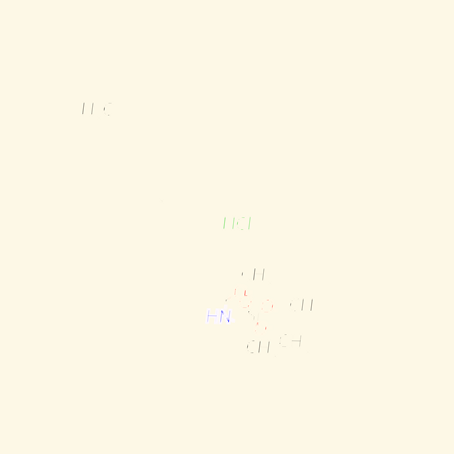 CCCCCCCCC=CCCCCCCCC(=O)NC(CC)[Si](OCC)(OCC)OCC.Cl